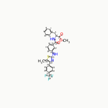 COC(=O)C(Cc1ccccc1)NC(=O)c1cccc(Nc2nc(-c3ccc(C(F)(F)F)cc3)c(C)s2)c1